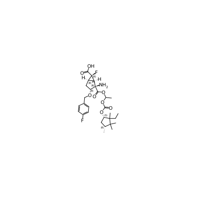 CCC1(C)[C@@H](OC(=O)OC(C)OC(=O)[C@@]2(N)[C@H]3[C@@H](C[C@H]2OCc2ccc(F)cc2)[C@]3(F)C(=O)O)C[C@@H](C)C1(C)C